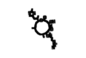 C/C1=C/C[C@@H](/C(C)=C/c2csc(C)n2)OC(=O)C[C@H](O)C(C)(C)C(=O)[C@H](CCCCN=[N+]=[N-])[C@@H](O)[C@@H](C)CCC1